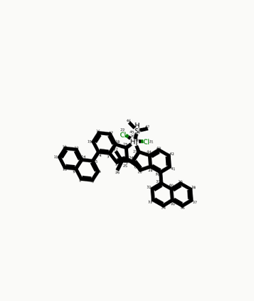 CC1=Cc2c(-c3cccc4ccccc34)cccc2[CH]1[Hf]([Cl])([Cl])([CH]1C(C(C)C)=Cc2c(-c3cccc4ccccc34)cccc21)[SiH](C)C